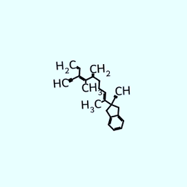 C#C/C(C=C)=C(\C)C(=C)CC/C=C(\C)C1(C#C)Cc2ccccc2C1